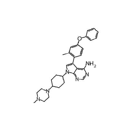 Cc1cc(Oc2ccccc2)ccc1-c1cn(C2CCC(N3CCN(C)CC3)CC2)c2ncnc(N)c12